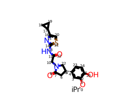 CC(C)Oc1cc([C@@H]2CC(=O)N(CC(=O)Nc3nc(C4CC4)cs3)C2)ccc1O